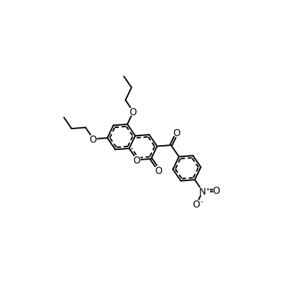 CCCOc1cc(OCCC)c2cc(C(=O)c3ccc([N+](=O)[O-])cc3)c(=O)oc2c1